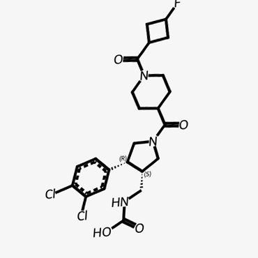 O=C(O)NC[C@H]1CN(C(=O)C2CCN(C(=O)C3CC(F)C3)CC2)C[C@H]1c1ccc(Cl)c(Cl)c1